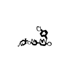 CN1CCC(C)(COc2ccc(-c3ccc(=O)n(Cc4ccc(Cl)cc4)n3)cn2)CC1